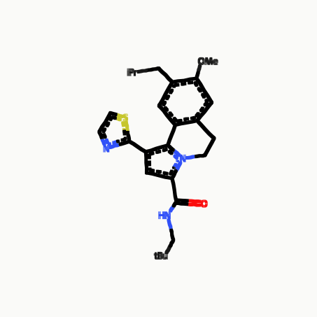 COc1cc2c(cc1CC(C)C)-c1c(-c3nccs3)cc(C(=O)NCC(C)(C)C)n1CC2